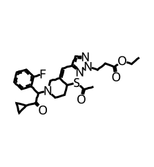 CCOC(=O)CCn1ncc(C=C2CN(C(C(=O)C3CC3)c3ccccc3F)CCC2SC(C)=O)n1